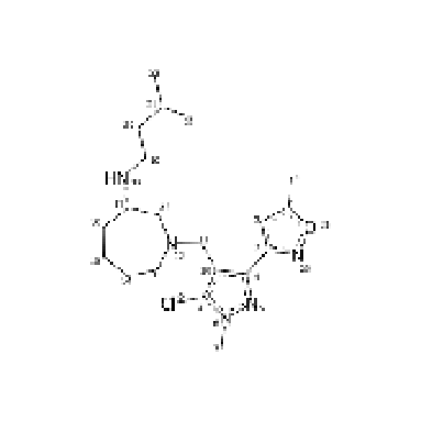 Cc1cc(-c2nn(C)c(Cl)c2CN2CCCC[C@H](NCCC(C)C)C2)no1